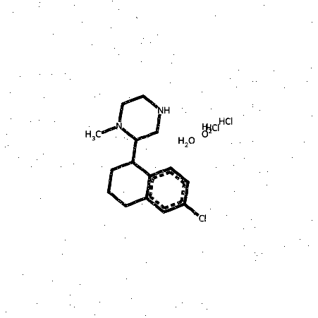 CN1CCNCC1C1CCCc2cc(Cl)ccc21.Cl.Cl.O.O